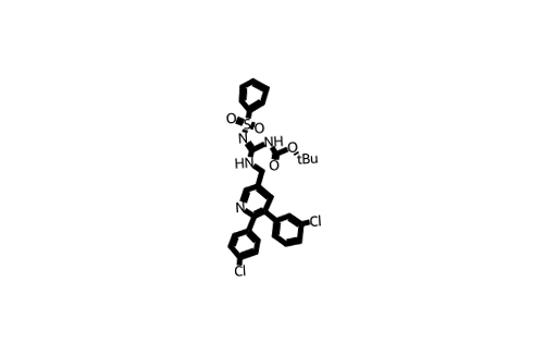 CC(C)(C)OC(=O)N/C(=N\S(=O)(=O)c1ccccc1)NCc1cnc(-c2ccc(Cl)cc2)c(-c2cccc(Cl)c2)c1